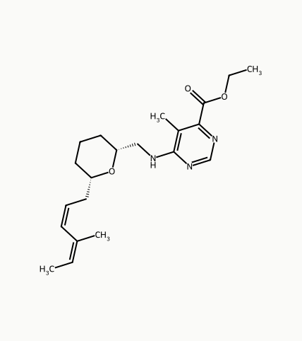 C/C=C(C)\C=C/C[C@@H]1CCC[C@H](CNc2ncnc(C(=O)OCC)c2C)O1